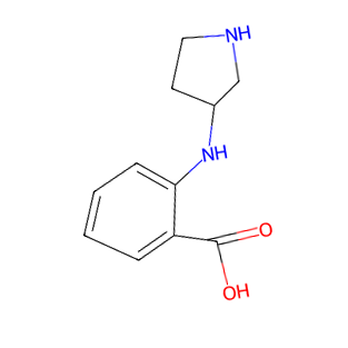 O=C(O)c1ccccc1NC1CCNC1